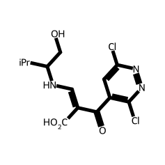 CC(C)C(CO)NC=C(C(=O)O)C(=O)c1cc(Cl)nnc1Cl